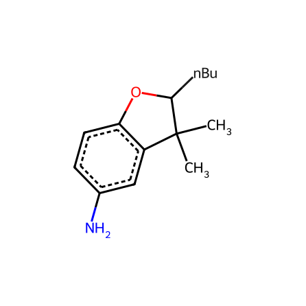 CCCCC1Oc2ccc(N)cc2C1(C)C